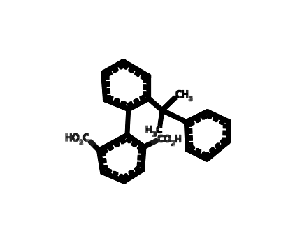 CC(C)(c1ccccc1)c1ccccc1-c1c(C(=O)O)cccc1C(=O)O